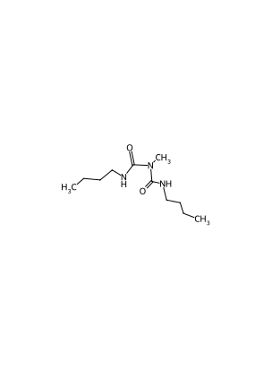 CCCCNC(=O)N(C)C(=O)NCCCC